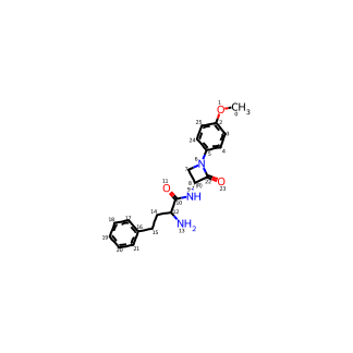 COc1ccc(N2C[C@@H](NC(=O)C(N)CCc3ccccc3)C2=O)cc1